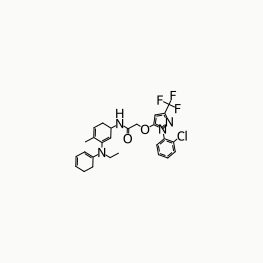 CCN(C1=CC=CCC1)C1=CC(NC(=O)COc2cc(C(F)(F)F)nn2-c2ccccc2Cl)CC=C1C